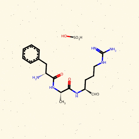 C[C@H](NC(=O)[C@H](N)Cc1ccccc1)C(=O)N[C@H](C=O)CCCNC(=N)N.O=S(=O)(O)O